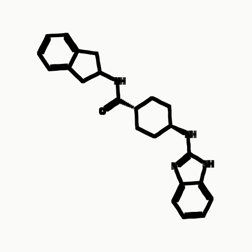 O=C(NC1Cc2ccccc2C1)[C@H]1CC[C@H](Nc2nc3ccccc3[nH]2)CC1